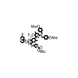 COc1ccc(CN(Cc2ccc(OC)cc2)c2cc(C)c(C(F)(F)F)c(C3Cc4nc(OC[C@@]56CCCN5C[C@H](F)C6)nc(N(C)[C@@H]5CCN(C(=O)OC(C)(C)C)C5)c4CC3C)n2)cc1